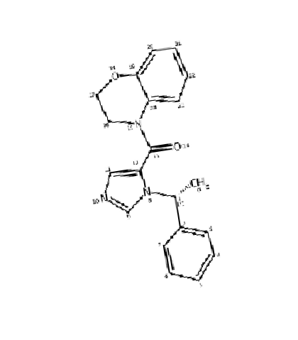 C[C@H](c1ccccc1)n1cncc1C(=O)N1CCOc2ccccc21